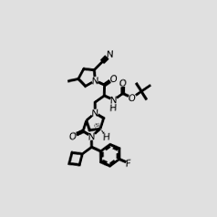 CC1CC(C#N)N(C(=O)C(CN2C[C@@H]3CC2C(=O)N3C(c2ccc(F)cc2)C2CCC2)NC(=O)OC(C)(C)C)C1